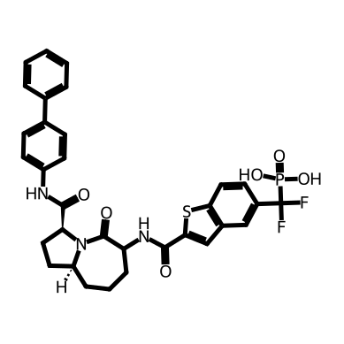 O=C(NC1CCC[C@H]2CC[C@@H](C(=O)Nc3ccc(-c4ccccc4)cc3)N2C1=O)c1cc2cc(C(F)(F)P(=O)(O)O)ccc2s1